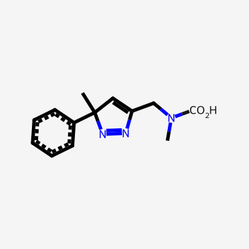 CN(CC1=CC(C)(c2ccccc2)N=N1)C(=O)O